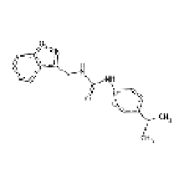 CC(C)c1ccc(NC(=O)NCc2noc3ccccc23)cc1